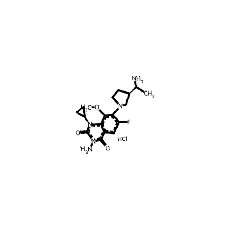 COc1c(N2CC[C@@H](C(C)N)C2)c(F)cc2c(=O)n(N)c(=O)n(C3CC3)c12.Cl